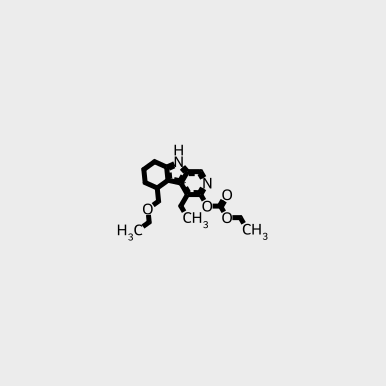 CCOCC1CCCc2[nH]c3cnc(OC(=O)OCC)c(CC)c3c21